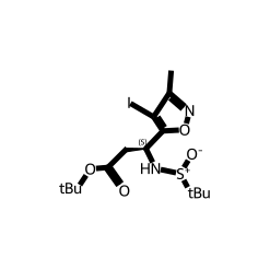 Cc1noc([C@H](CC(=O)OC(C)(C)C)N[S+]([O-])C(C)(C)C)c1I